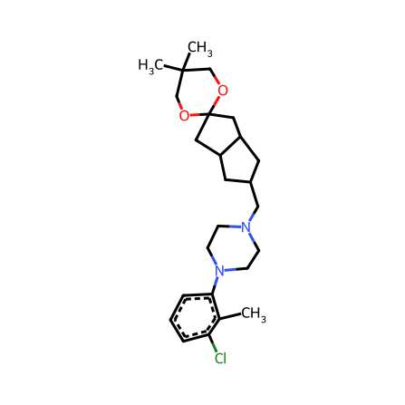 Cc1c(Cl)cccc1N1CCN(CC2CC3CC4(CC3C2)OCC(C)(C)CO4)CC1